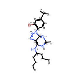 CCCCC(CCCC)Nc1nc(C)nc2c1nnn2-c1ccc(C(C)C)cc1Br